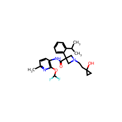 Cc1ccc(NC(=O)C2(c3ccccc3C(C)C)CN(CCC3(O)CC3)C2)c(OC(F)F)n1